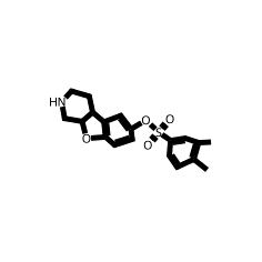 Cc1ccc(S(=O)(=O)Oc2ccc3c(c2)C2CCNCC2O3)cc1C